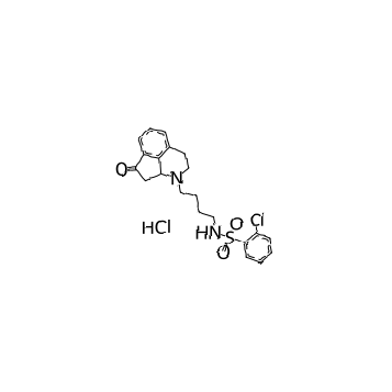 Cl.O=C1CC2c3c(cccc31)CCN2CCCCNS(=O)(=O)c1ccccc1Cl